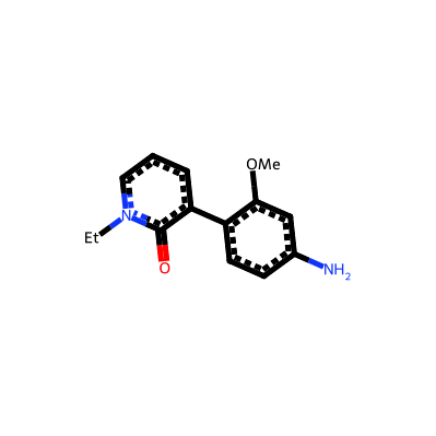 CCn1cccc(-c2ccc(N)cc2OC)c1=O